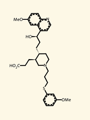 COc1cccc(SCCCN2CC[C@@H](CC[C@@H](O)c3ccnc4ccc(OC)cc34)[C@H](CCC(=O)O)C2)c1